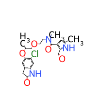 Cc1cc(C(=O)N(C)CCOC[C@H](C)Oc2cc3c(cc2Cl)NC(=O)C3)c(C=O)[nH]1